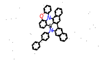 c1ccc(-c2ccc(N3B4c5cccc6c5N(c5ccccc5O6)c5c4c(cc4ccccc54)-c4cc5ccccc5cc43)cc2)cc1